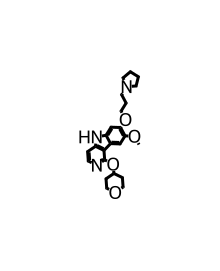 COc1cc2c(cc1OCCCN1CCCC1)[nH]c1ccnc(OC3CCOCC3)c12